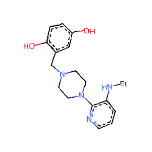 CCNc1cccnc1N1CCN(Cc2cc(O)ccc2O)CC1